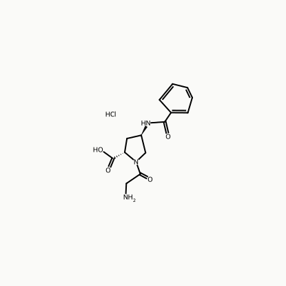 Cl.NCC(=O)N1C[C@H](NC(=O)c2ccccc2)C[C@H]1C(=O)O